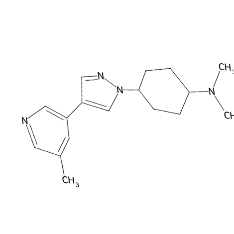 Cc1cncc(-c2cnn(C3CCC(N(C)C)CC3)c2)c1